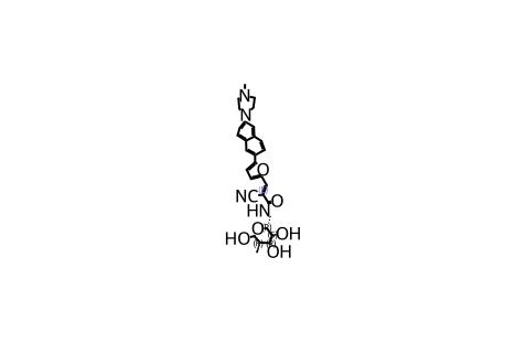 C[C@H]1C(O)O[C@H](CNC(=O)/C(C#N)=C/c2ccc(-c3ccc4cc(N5CCN(C)CC5)ccc4c3)o2)[C@@H](O)[C@@H]1O